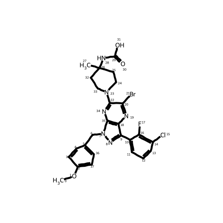 COc1ccc(Cn2nc(-c3cccc(Cl)c3F)c3nc(Br)c(N4CCC(C)(NC(=O)O)CC4)nc32)cc1